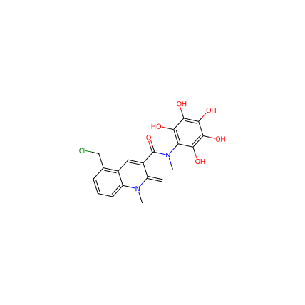 C=C1C(C(=O)N(C)c2c(O)c(O)c(O)c(O)c2O)=Cc2c(CCl)cccc2N1C